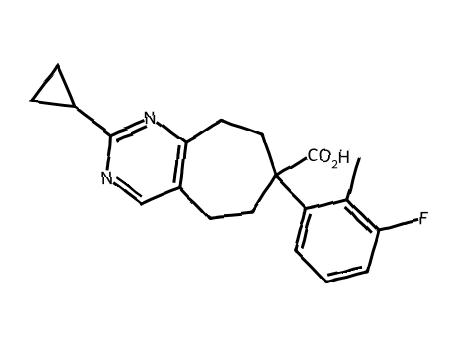 Cc1c(F)cccc1C1(C(=O)O)CCc2cnc(C3CC3)nc2CC1